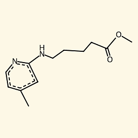 COC(=O)CCCCNc1cc(C)ccn1